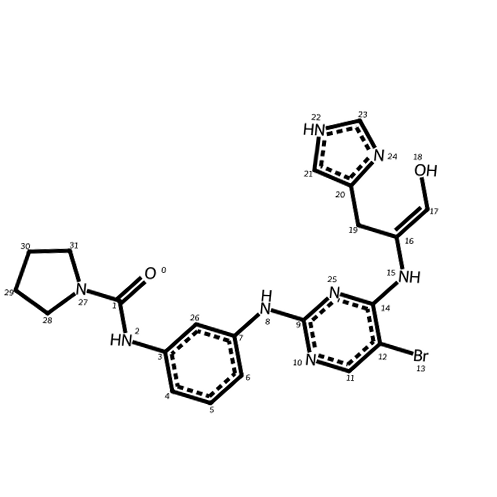 O=C(Nc1cccc(Nc2ncc(Br)c(N/C(=C/O)Cc3c[nH]cn3)n2)c1)N1CCCC1